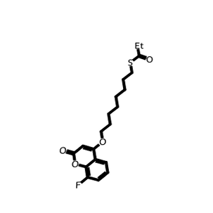 CCC(=O)SCCCCCCCCOc1cc(=O)oc2c(F)cccc12